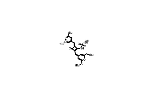 CCCCS(=O)(=O)NC1=C(C=C2C=C(SC(C)(C)C)OC(SC(C)(C)C)=C2)C(=O)C1=Cc1cc(C(C)(C)C)s[c+](C(C)(C)C)c1.[OH-]